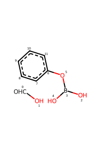 O=CO.OB(O)Oc1ccccc1